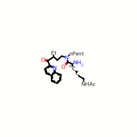 CCCCCN(CCC(CC)C(=O)c1ccc2ccccc2n1)C(=O)[C@H](N)CCCCNC(C)=O